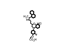 C[C@@H](NCCC1CN(c2ccc(OCC(=O)O)c(F)c2)c2ccccc2O1)c1cccc2ccccc12.Cl